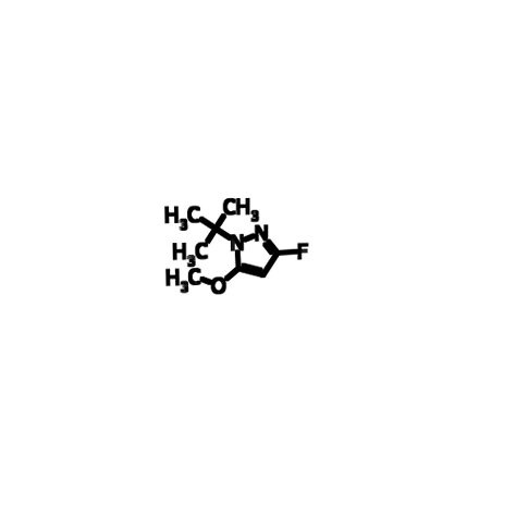 COc1cc(F)nn1C(C)(C)C